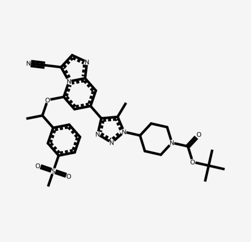 Cc1c(-c2cc(OC(C)c3cccc(S(C)(=O)=O)c3)n3c(C#N)cnc3c2)nnn1C1CCN(C(=O)OC(C)(C)C)CC1